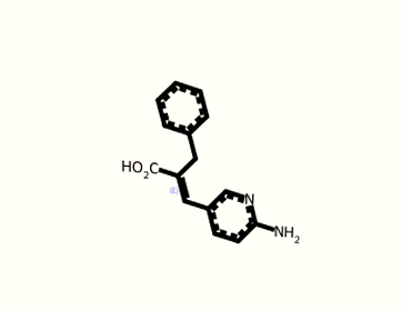 Nc1ccc(/C=C(\Cc2ccccc2)C(=O)O)cn1